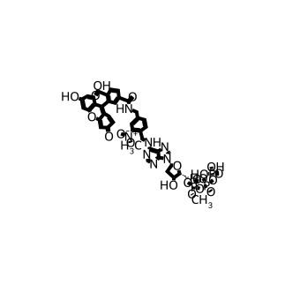 COP(=O)(OC[C@H]1O[C@@H](n2cnc3c(NC(C)c4ccc(CNC(=O)c5ccc(C(=O)O)c(-c6c7ccc(=O)cc-7oc7cc(O)ccc67)c5)cc4[N+](=O)[O-])ncnc32)CC1O)OP(=O)(O)OP(=O)(O)O